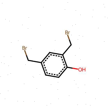 Oc1ccc(CBr)cc1CBr